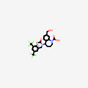 CC(=O)N(Cc1cc(C(F)(F)F)cc(C(F)(F)F)c1)C1CCCN(C(=O)O)c2cc(CO)ccc21